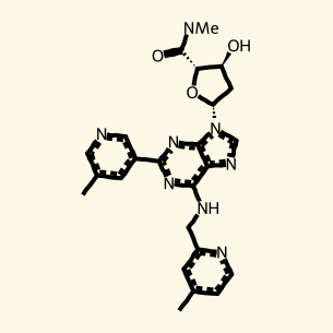 CNC(=O)[C@H]1O[C@@H](n2cnc3c(NCc4cc(C)ccn4)nc(-c4cncc(C)c4)nc32)C[C@@H]1O